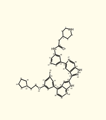 O=C(CC1CCNCC1)Nc1cncc(-c2cc3c(-c4cc5c(-c6cc(F)cc(OCCN7CCCC7)c6)ccnc5[nH]4)n[nH]c3cn2)c1